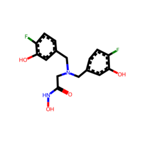 O=C(CN(Cc1ccc(F)c(O)c1)Cc1ccc(F)c(O)c1)NO